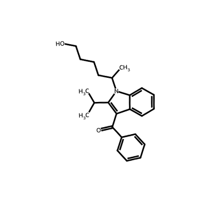 CC(C)c1c(C(=O)c2ccccc2)c2ccccc2n1C(C)CCCCO